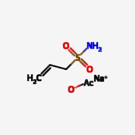 C=CCS(N)(=O)=O.CC(=O)[O-].[Na+]